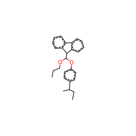 CCCOC(Oc1ccc(C(C)CC)cc1)C1c2ccccc2-c2ccccc21